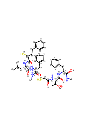 CNC(=O)[C@H](Cc1ccccc1)NC(=O)[C@@H](NC(=O)CS)C(C)O.CNC(=O)[C@H](Cc1ccccc1)NC(=O)[C@H](CC(C)C)NC(=O)C(S)CCc1ccccc1